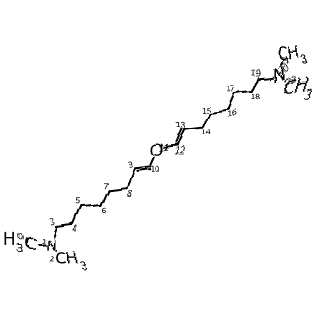 CN(C)CCCCCCC=COC=CCCCCCCN(C)C